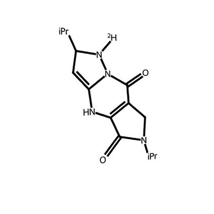 [2H]N1C(C(C)C)C=C2NC3=C(CN(C(C)C)C3=O)C(=O)N21